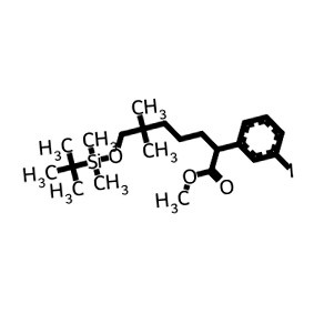 COC(=O)C(CCCC(C)(C)CO[Si](C)(C)C(C)(C)C)c1cccc(I)c1